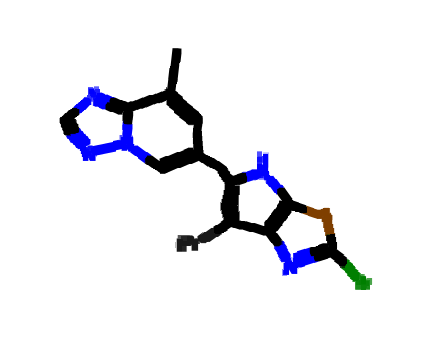 Cc1cc(-c2[nH]c3sc(Br)nc3c2C(C)C)cn2ncnc12